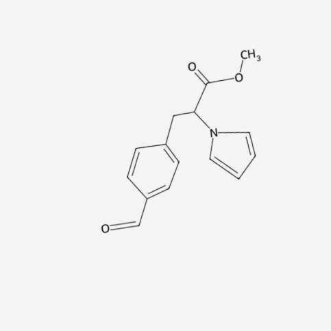 COC(=O)C(Cc1ccc(C=O)cc1)n1cccc1